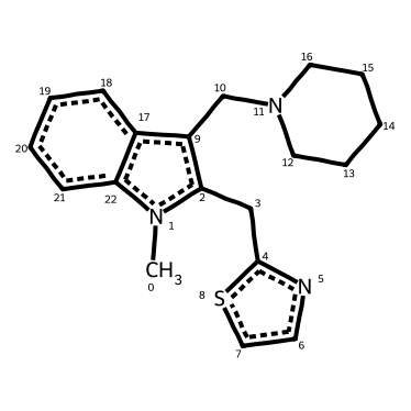 Cn1c(Cc2nccs2)c(CN2CCCCC2)c2ccccc21